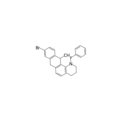 CC1c2ccc(Br)cc2Cc2ccc3c(c21)N(Cc1ccccc1)CCC3